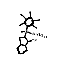 CCCC[Si](C)(c1c(C)c(C)c(C)c(C)c1C)C1CC2C=CC=CC2[CH]1[Ti+3].[Cl-].[Cl-].[Cl-]